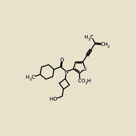 C=C(C)C#Cc1cc(N(C(=O)C2CCC(C)CC2)C2CC(CO)C2)c(C(=O)O)s1